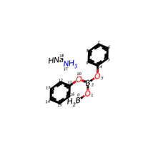 BOB(Oc1ccccc1)Oc1ccccc1.N.[NaH]